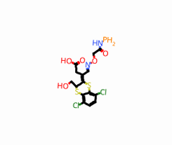 O=C(O)CC(/C=N/OCC(=O)NP)=C1/Sc2c(Cl)ccc(Cl)c2SC1CO